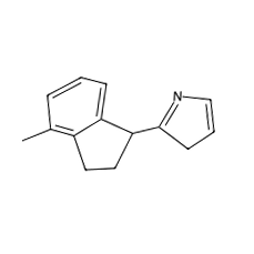 Cc1cccc2c1CCC2C1=NC=CC1